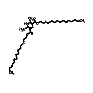 CCCCCCCCCCCCSCCOC(=O)C1=C(C)NC(C)=C(C(=O)OCCSCCCCCCCCCCCC)C1